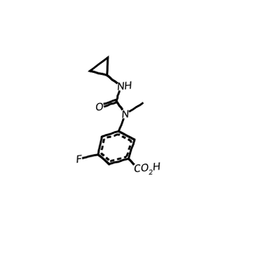 CN(C(=O)NC1CC1)c1cc(F)cc(C(=O)O)c1